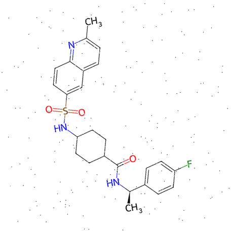 Cc1ccc2cc(S(=O)(=O)NC3CCC(C(=O)N[C@H](C)c4ccc(F)cc4)CC3)ccc2n1